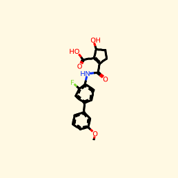 COc1cccc(-c2ccc(NC(=O)C3=C(C(=O)O)C(O)CC3)c(F)c2)c1